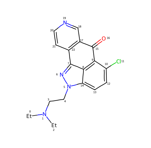 CCN(CC)CCn1nc2c3c(c(Cl)ccc31)C(=O)c1cnccc1-2